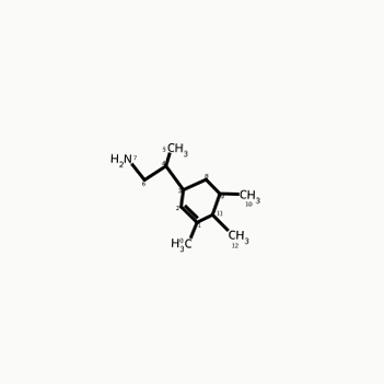 CC1=CC(C(C)CN)CC(C)C1C